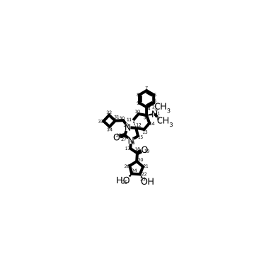 CN(C)[C@]1(c2ccccc2)CC[C@]2(CC1)CN(CC(=O)C1C[C@H](O)[C@@H](O)C1)C(=O)N2CC1CCC1